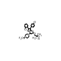 CC(C)(O)COc1cc(N2CCN(SC(F)(F)F)CC2)n2nc(-c3ccccc3Cl)c(-c3ccc(Cl)cc3)c2n1